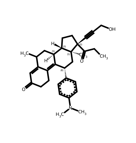 CCC(=O)[C@@]1(C#CCO)CC[C@H]2[C@@H]3CC(C)C4=CC(=O)CCC4=C3[C@@H](c3ccc(N(C)C)cc3)C[C@@]21C